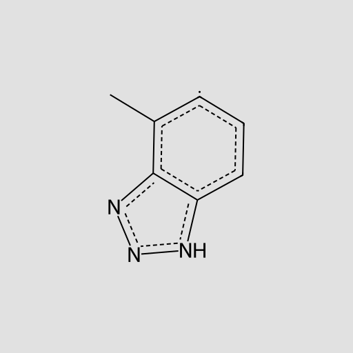 Cc1[c]ccc2[nH]nnc12